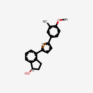 CC(C)Oc1ccc(-c2ccc(-c3cccc4c3CC[C@H]4O)s2)cc1C#N